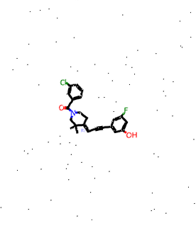 CC1(C)CN(C(=O)c2cccc(Cl)c2)CC/C1=C\C#Cc1cc(O)cc(F)c1